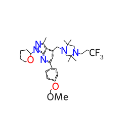 COCOc1ccc(-c2cc(CN3CC(C)(C)N(CCC(F)(F)F)CC3(C)C)c3c(C)nn(C4CCCCO4)c3n2)cc1